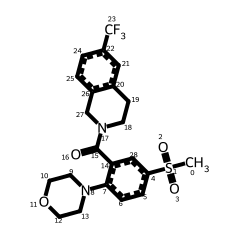 CS(=O)(=O)c1ccc(N2CCOCC2)c(C(=O)N2CCc3cc(C(F)(F)F)ccc3C2)c1